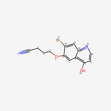 N#CCCCOc1cc2c(O)ccnc2cc1Br